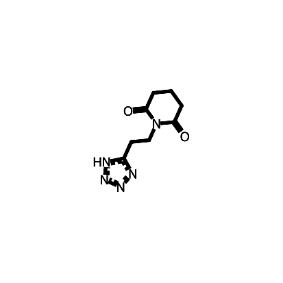 O=C1CCCC(=O)N1CCc1nnn[nH]1